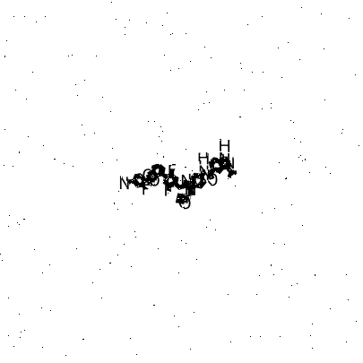 CC(C)c1n[nH]c2ccc(C(=O)Nc3ccc4c(c3)nc(Cc3cc(F)c(-c5cccc6c5OC(C)(c5ccc(C#N)cc5F)O6)cc3F)n4C[C@@H]3CCO3)cc12